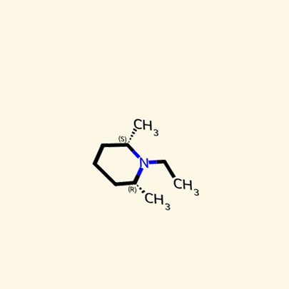 CCN1[C@H](C)CCC[C@@H]1C